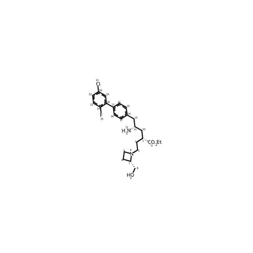 CCOC(=O)[C@H](CCN1CC[C@H]1CO)C[C@H](N)Cc1ccc(-c2cc(Cl)ccc2F)cc1